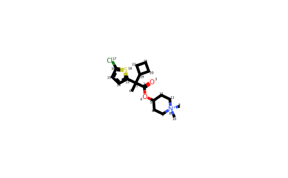 CC(C(=O)OC1CC[N+](C)(C)CC1)(c1ccc(Cl)s1)C1CCC1